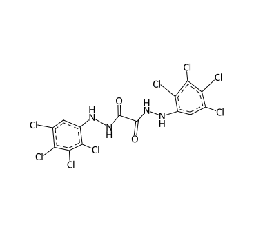 O=C(NNc1cc(Cl)c(Cl)c(Cl)c1Cl)C(=O)NNc1cc(Cl)c(Cl)c(Cl)c1Cl